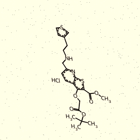 COC(=O)c1sc2nc(CNCCc3ccsc3)ccc2c1OCC(=O)OC(C)(C)C.Cl